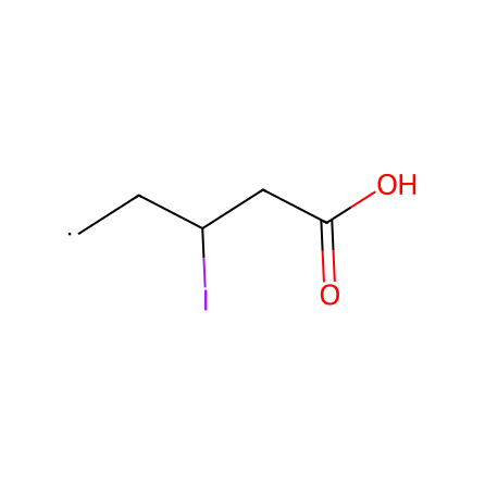 [CH2]CC(I)CC(=O)O